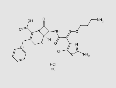 Cl.Cl.NCCCON=C(C(=O)N[C@@H]1C(=O)N2C(C(=O)O)=C(C[n+]3ccccc3)CS[C@H]12)c1nc(N)sc1Cl